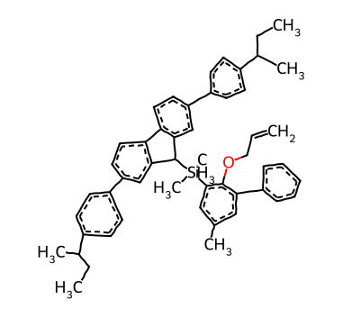 C=CCOc1c(-c2ccccc2)cc(C)cc1[Si](C)(C)C1c2cc(-c3ccc(C(C)CC)cc3)ccc2-c2ccc(-c3ccc(C(C)CC)cc3)cc21